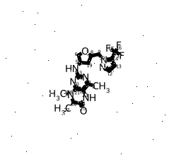 Cc1nc(NC2COC(Cn3nccc3C(F)(F)F)C2)nc2c1NC(=O)[C@H](C)N2C